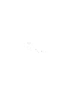 COC(=O)c1cc2c(cc1C)OC1(CO2)CN(C(=O)OC(C)(C)C)C1